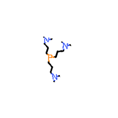 CN(C)CCCP(CCCN(C)C)CCCN(C)C